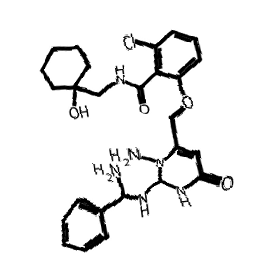 NC(NC1NC(=O)C=C(COc2cccc(Cl)c2C(=O)NCC2(O)CCCCC2)N1N)c1ccccc1